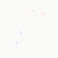 O[SiH](O)CCCCN1CCNCC1